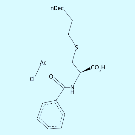 CC(=O)Cl.CCCCCCCCCCCCSC[C@H](NC(=O)c1ccccc1)C(=O)O